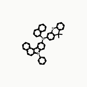 CC1(C)c2ccccc2Sc2cc(N(c3ccc4c(c3)c3c5ccccc5ccc3n4-c3ccccc3)c3cccc4ccccc34)ccc21